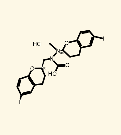 CN([C@H]1CCc2cc(I)ccc2O1)N(C[C@H]1CCc2cc(I)ccc2O1)C(=O)O.Cl